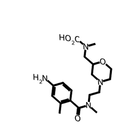 Cc1cc(N)ccc1C(=O)N(C)CCN1CCOC(CN(C)C(=O)O)C1